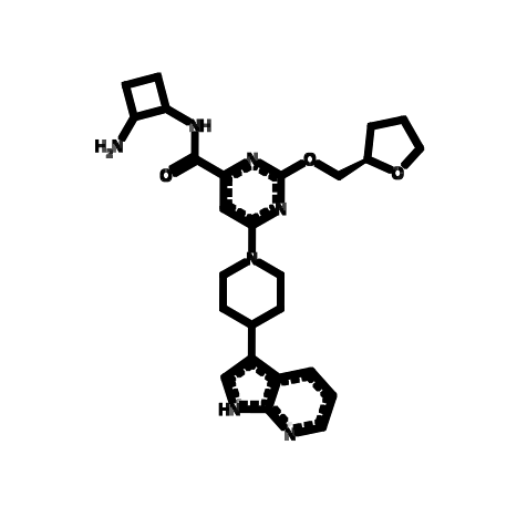 NC1CCC1NC(=O)c1cc(N2CCC(c3c[nH]c4ncccc34)CC2)nc(OC[C@H]2CCCO2)n1